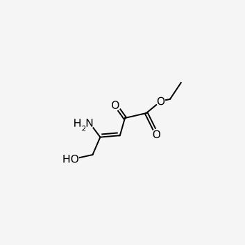 CCOC(=O)C(=O)C=C(N)CO